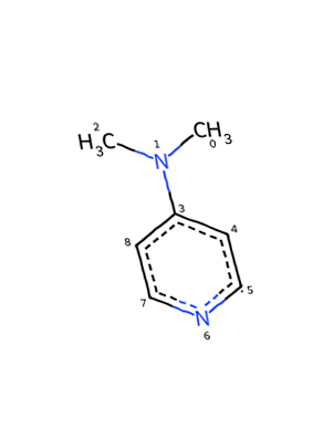 CN(C)c1c[c]ncc1